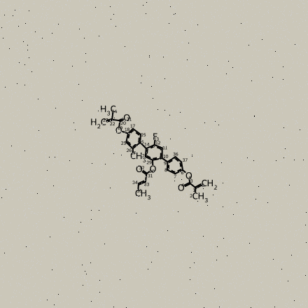 C=C(C)C(=O)Oc1ccc(-c2cc(F)c(-c3ccc(OC(=O)C(=C)C)cc3C)cc2OC(=O)/C=C/C)cc1